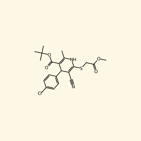 COC(=O)CSC1=C(C#N)C(c2ccc(Cl)cc2)C(C(=O)OC(C)(C)C)=C(C)N1